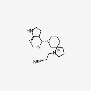 N#CCCN1CCC[C@@]12CCCN(C1N=CN=C3NCCC31)C2